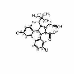 C#CCN1C(CC(C)(C)C)C(c2ccc(Cl)cc2F)C(c2cccc(Cl)c2)C1C(=O)O